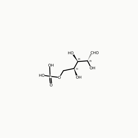 O=C[C@H](O)[C@H](O)[C@@H](O)COP(=O)(O)O